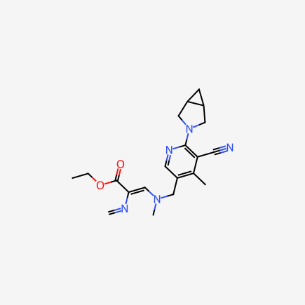 C=N/C(=C\N(C)Cc1cnc(N2CC3CC3C2)c(C#N)c1C)C(=O)OCC